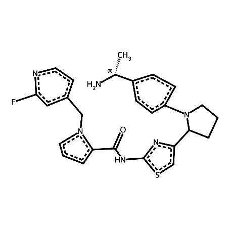 C[C@@H](N)c1ccc(N2CCCC2c2csc(NC(=O)c3cccn3Cc3ccnc(F)c3)n2)cc1